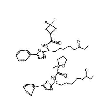 CCC(=O)CCCCCC(NC(=O)C1CC(F)(F)C1)c1ncc(-c2ccccc2)o1.CCC(=O)CCCCC[C@H](NC(=O)[C@]1(C)CCCO1)c1ncc(-c2ccccc2)o1